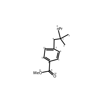 CCCC(C)(C)Cc1ccc(C(=O)OC)cc1